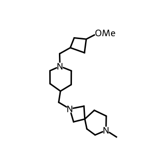 COC1CC(CN2CCC(CN3CC4(CCN(C)CC4)C3)CC2)C1